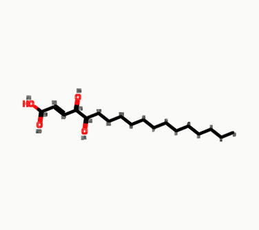 CCCCCCCCCCCCCC(=O)C(=O)C=CC(=O)O